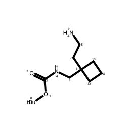 CC(C)(C)OC(=O)NCC1(CCN)CCC1